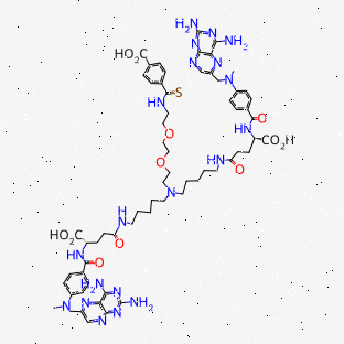 CN(Cc1cnc2nc(N)nc(N)c2n1)c1ccc(C(=O)N[C@@H](CCC(=O)NCCCCCN(CCCCCNC(=O)CC[C@@H](NC(=O)c2ccc(N(C)Cc3cnc4nc(N)nc(N)c4n3)cc2)C(=O)O)CCOCCOCCNC(=S)c2ccc(C(=O)O)cc2)C(=O)O)cc1